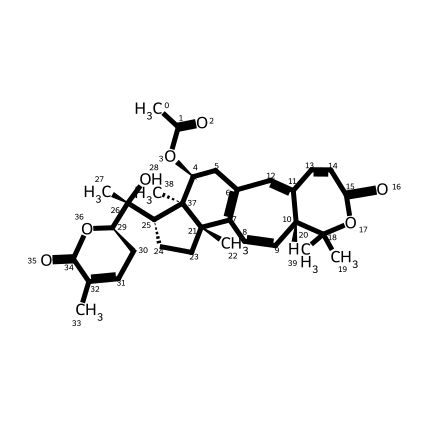 CC(=O)O[C@H]1CC2=C(C=C[C@@H]3C(=C2)C=CC(=O)OC3(C)C)[C@]2(C)CC[C@H]([C@@](C)(O)[C@H]3CC=C(C)C(=O)O3)[C@@]12C